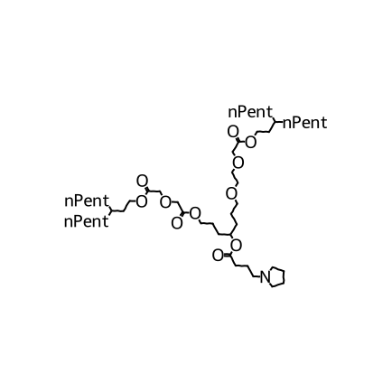 CCCCCC(CCCCC)CCOC(=O)COCCOCCCC(CCCOC(=O)COCC(=O)OCCC(CCCCC)CCCCC)OC(=O)CCCN1CCCC1